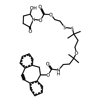 CC(C)(CCNC(=O)OC1Cc2ccccc2C#Cc2ccccc21)OCCC(C)(C)SSCCOC(=O)ON1C(=O)CCC1O